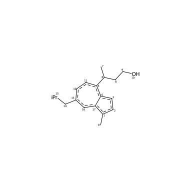 Cc1ccc2c(C(C)CCO)ccc(CC(C)C)cc1-2